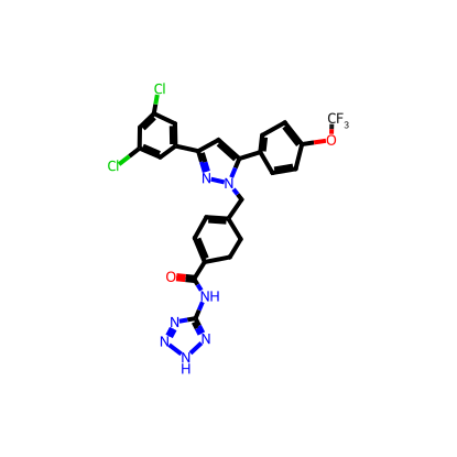 O=C(Nc1nn[nH]n1)C1=CC=C(Cn2nc(-c3cc(Cl)cc(Cl)c3)cc2-c2ccc(OC(F)(F)F)cc2)CC1